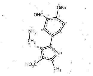 CN.Cc1nc(-c2ccc(OCC(C)C)c(C=O)c2)sc1C(=O)O